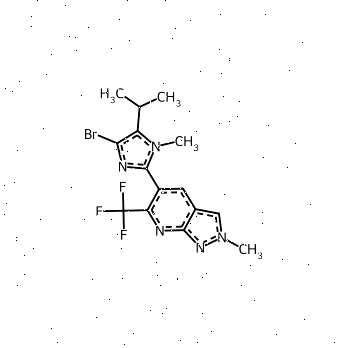 CC(C)c1c(Br)nc(-c2cc3cn(C)nc3nc2C(F)(F)F)n1C